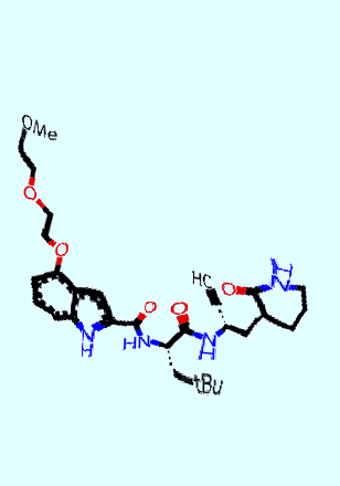 C#C[C@H](C[C@@H]1CCCNC1=O)NC(=O)[C@H](CC(C)(C)C)NC(=O)c1cc2c(OCCOCCOC)cccc2[nH]1